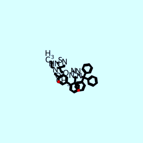 CCCN(Cc1ccc(-c2ccccc2-c2nnnn2C(c2ccccc2)(c2ccccc2)c2ccccc2)cc1)C1(C(=O)OC)C=NSN1